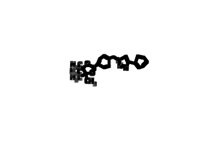 CC1(C)OB(c2ccc(Cn3cc(-c4ccccc4)nn3)cc2)OC1(C)C